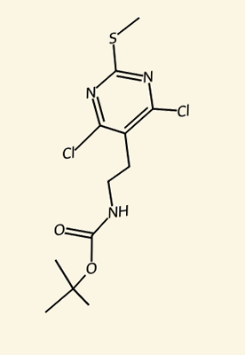 CSc1nc(Cl)c(CCNC(=O)OC(C)(C)C)c(Cl)n1